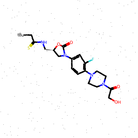 CC(C)(C)CC(=S)NC[C@H]1CN(c2ccc(N3CCN(C(=O)CO)CC3)c(F)c2)C(=O)O1